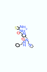 Nc1cscc1NC(=O)c1ccc(CN(CCN2CCCC2)C(=O)NCCc2ccccc2)cn1